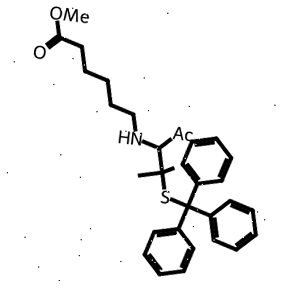 COC(=O)CCCCCNC(C(C)=O)C(C)(C)SC(c1ccccc1)(c1ccccc1)c1ccccc1